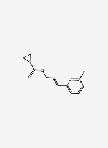 O=C(OCC=Cc1cccc(F)c1)C1CC1